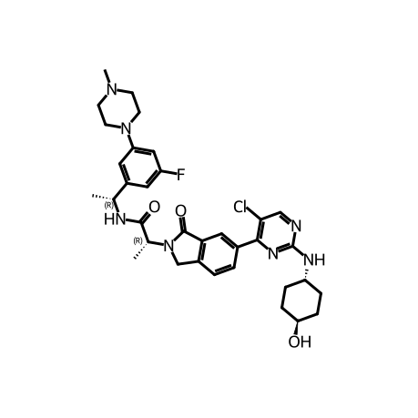 C[C@H](C(=O)N[C@H](C)c1cc(F)cc(N2CCN(C)CC2)c1)N1Cc2ccc(-c3nc(N[C@H]4CC[C@H](O)CC4)ncc3Cl)cc2C1=O